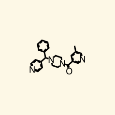 Cc1cncc(C(=O)N2CCN(C(c3ccccc3)c3ccncc3)CC2)c1